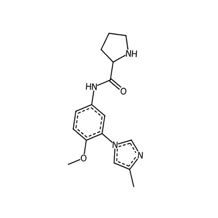 COc1ccc(NC(=O)C2CCCN2)cc1-n1cnc(C)c1